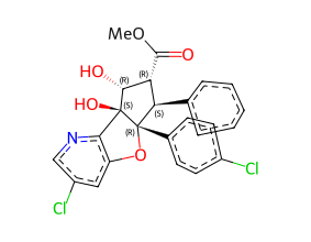 COC(=O)[C@H]1[C@@H](O)[C@@]2(O)c3ncc(Cl)cc3O[C@@]2(c2ccc(Cl)cc2)[C@@H]1c1ccccc1